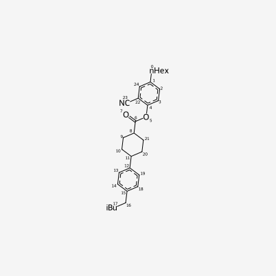 CCCCCCc1ccc(OC(=O)C2CCC(c3ccc(CC(C)CC)cc3)CC2)c(C#N)c1